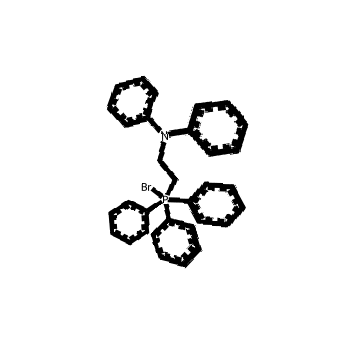 BrP(CCN(c1ccccc1)c1ccccc1)(c1ccccc1)(c1ccccc1)c1ccccc1